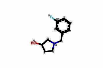 OC1CCN(Cc2cccc(F)c2)C1